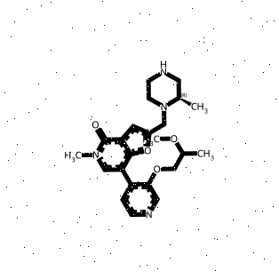 COC(C)COc1cnccc1-c1cn(C)c(=O)c2cc(CN3CCNC[C@H]3C)oc12